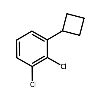 Clc1cccc([C]2CCC2)c1Cl